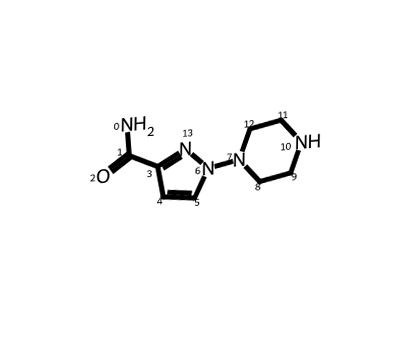 NC(=O)c1ccn(N2CCNCC2)n1